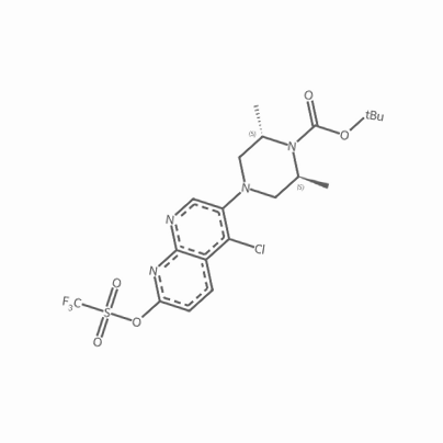 C[C@H]1CN(c2cnc3nc(OS(=O)(=O)C(F)(F)F)ccc3c2Cl)C[C@H](C)N1C(=O)OC(C)(C)C